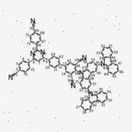 N#Cc1ccc(-c2cc(-c3ccc(-c4cc(C#N)c(-n5c6ccc(-n7c8ccccc8c8ccccc87)cc6c6cc(-n7c8ccccc8c8ccccc87)ccc65)c(C#N)c4)cc3)nc(-c3ccc(C#N)cc3)n2)cc1